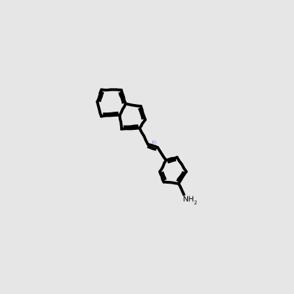 Nc1ccc(/C=C/c2ccc3ccccc3c2)cc1